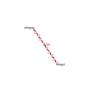 CCCCCCCOCCOCCOCCOCCOCC(O)COCCOCCOCCOCCOCCCCCCC